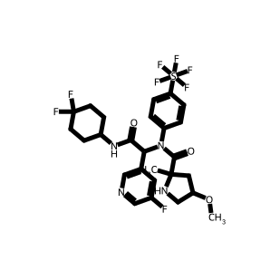 COC1CNC(C)(C(=O)N(c2ccc(S(F)(F)(F)(F)F)cc2)C(C(=O)NC2CCC(F)(F)CC2)c2cncc(F)c2)C1